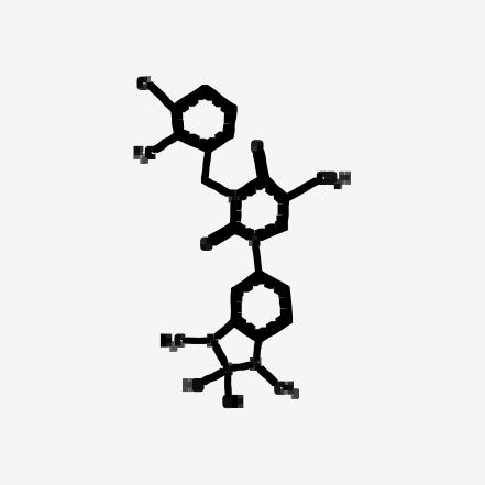 CN1c2ccc(-n3cc(C(=O)O)c(=O)n(Cc4cccc(Cl)c4C(F)(F)F)c3=O)cc2N(C)S1(O)O